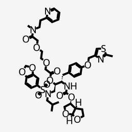 Cc1nc(COc2ccc(C[C@H](NC(=O)O[C@H]3CO[C@H]4OCC[C@H]43)[C@@H](CN(CC(C)C)S(=O)(=O)c3ccc4c(c3)OCO4)OC(=O)COCCOCC(=O)N(C)CCc3ccccn3)cc2)cs1